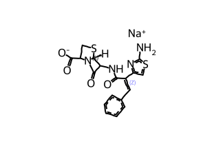 Nc1nc(/C(=C/c2ccccc2)C(=O)NC2C(=O)N3C(C(=O)[O-])CS[C@H]23)cs1.[Na+]